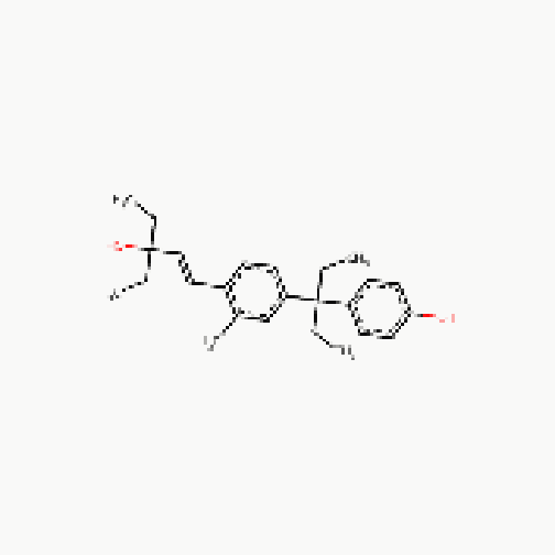 CCC(O)(C=Cc1ccc(C(CC)(CC)c2ccc(O)cc2)cc1C)CC